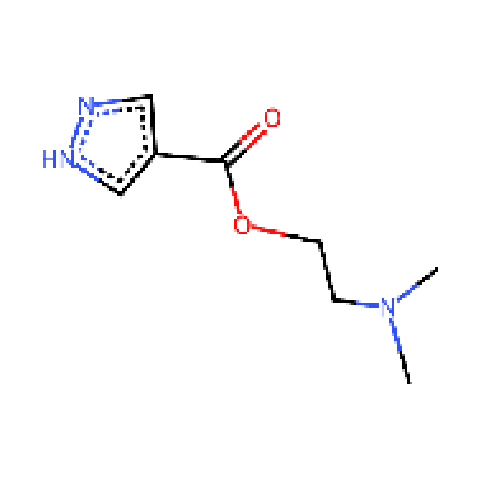 CN(C)CCOC(=O)c1cn[nH]c1